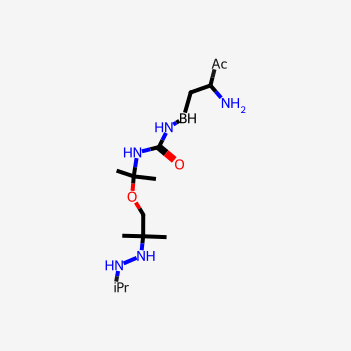 CC(=O)C(N)CBNC(=O)NC(C)(C)OCC(C)(C)NNC(C)C